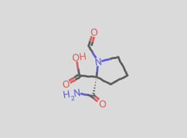 NC(=O)[C@@]1(C(=O)O)CCCN1C=O